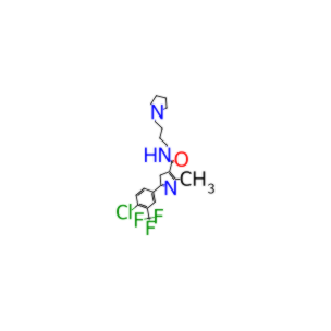 CC1=C(C(=O)NCCCCN2CCCC2)CC(c2ccc(Cl)c(C(F)(F)F)c2)=N1